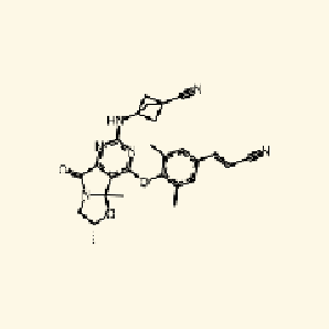 Cc1cc(/C=C/C#N)cc(C)c1Oc1nc(NC23CC(C#N)(C2)C3)nc2c1C1(C)O[C@H](C)CN1C2=O